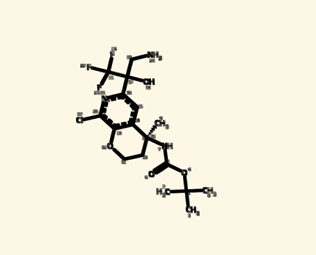 CC(C)(C)OC(=O)N[C@@]1(C)CCOc2c1cc(C(O)(CN)C(F)(F)F)nc2Cl